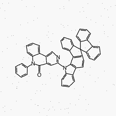 O=c1c2cc(-n3c4ccccc4c4ccc5c(c43)-c3ccccc3C53c4ccccc4-c4ccccc43)ncc2c2ccccc2n1-c1ccccc1